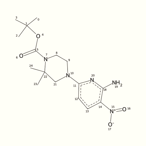 CC(C)(C)OC(=O)N1CCN(c2ccc([N+](=O)[O-])c(N)n2)CC1(C)C